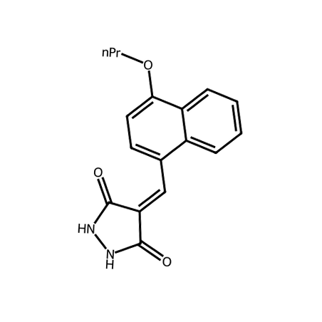 CCCOc1ccc(C=C2C(=O)NNC2=O)c2ccccc12